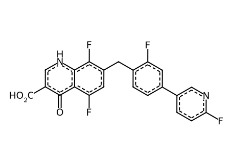 O=C(O)c1c[nH]c2c(F)c(Cc3ccc(-c4ccc(F)nc4)cc3F)cc(F)c2c1=O